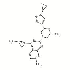 Cc1ccc2c(C34CC(C(F)(F)F)(C3)C4)nc([C@H]3C[C@@H](C)O[C@@H](c4cnn(C5CC5)c4)C3)nc2n1